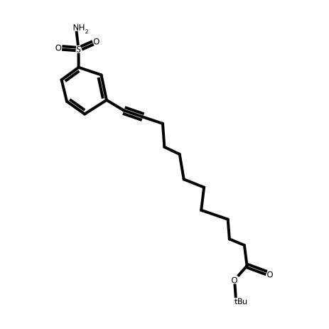 CC(C)(C)OC(=O)CCCCCCCCCC#Cc1cccc(S(N)(=O)=O)c1